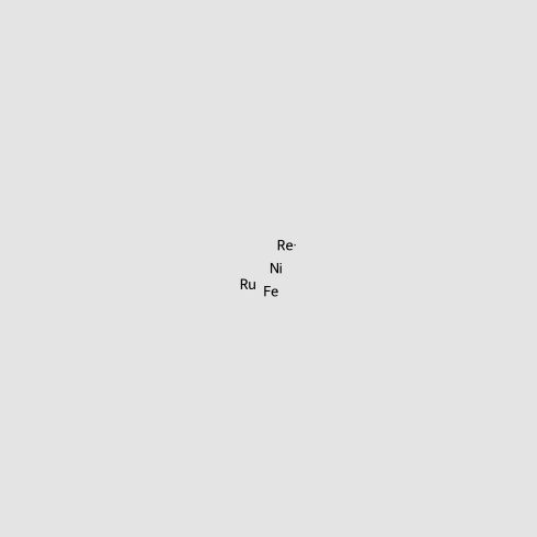 [Fe].[Ni].[Re].[Ru]